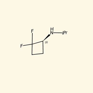 CC(C)N[C@H]1CCC1(F)F